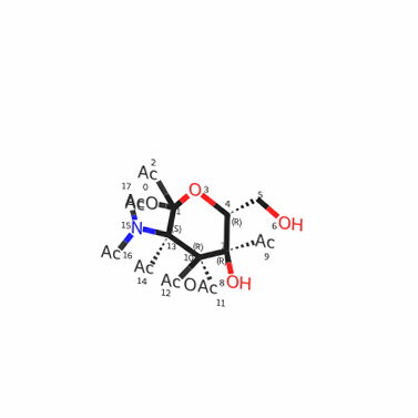 CC(=O)OC1(C(C)=O)O[C@H](CO)[C@](O)(C(C)=O)[C@@](OC(C)=O)(C(C)=O)[C@@]1(C(C)=O)N(C(C)=O)C(C)=O